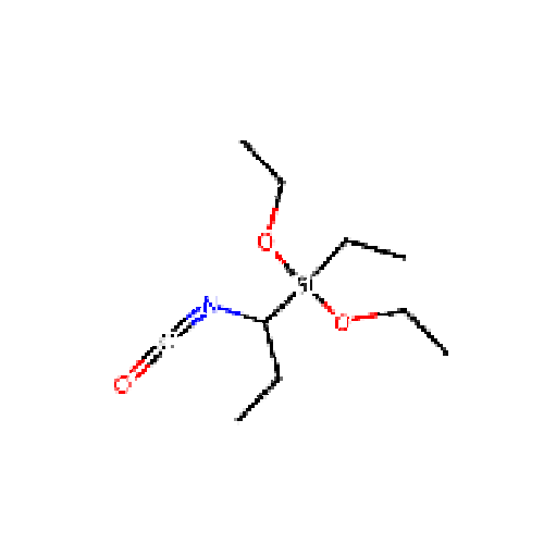 CCO[Si](CC)(OCC)C(CC)N=C=O